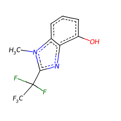 Cn1c(C(F)(F)C(F)(F)F)nc2c(O)cccc21